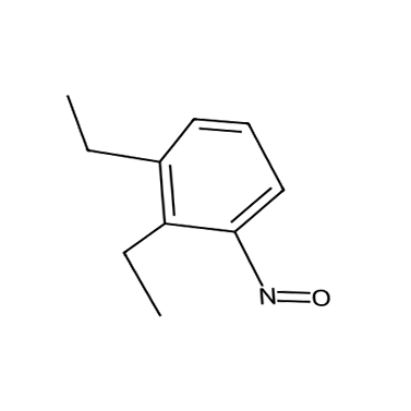 CCc1cccc(N=O)c1CC